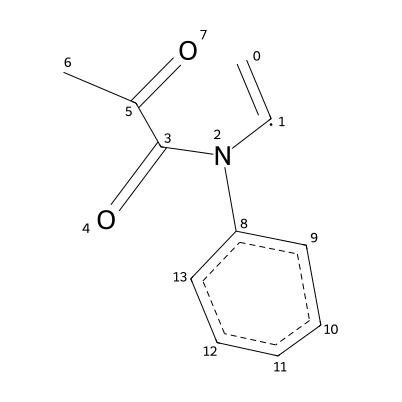 C=[C]N(C(=O)C(C)=O)c1ccccc1